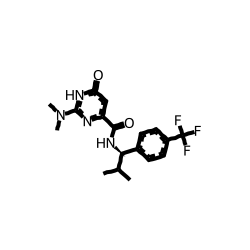 CC(C)[C@@H](NC(=O)c1cc(=O)[nH]c(N(C)C)n1)c1ccc(C(F)(F)F)cc1